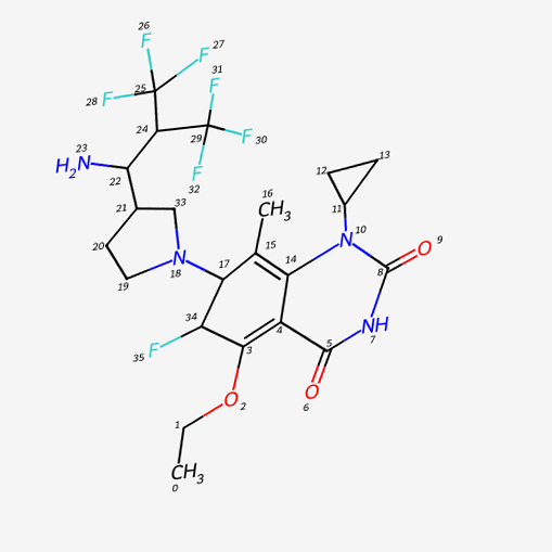 CCOC1=c2c(=O)[nH]c(=O)n(C3CC3)c2=C(C)C(N2CCC(C(N)C(C(F)(F)F)C(F)(F)F)C2)C1F